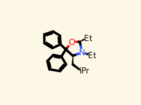 CC[C@@H]1OC(c2ccccc2)(c2ccccc2)[C@H](CC(C)C)N1CC